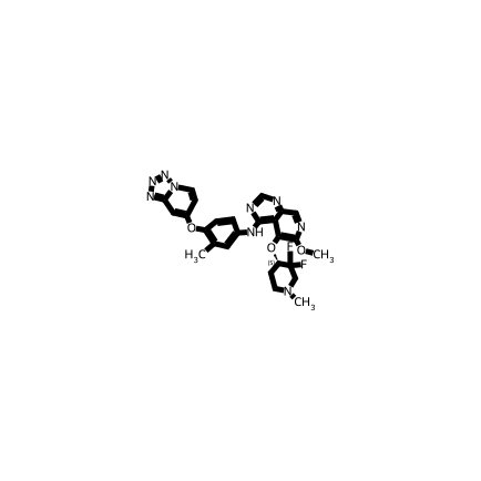 COc1ncc2ncnc(Nc3ccc(Oc4ccn5nnnc5c4)c(C)c3)c2c1O[C@H]1CCN(C)CC1(F)F